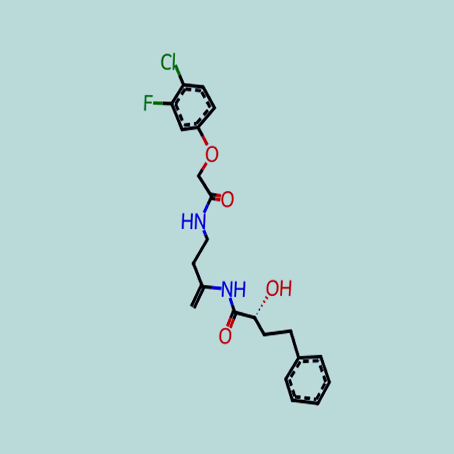 C=C(CCNC(=O)COc1ccc(Cl)c(F)c1)NC(=O)[C@H](O)CCc1ccccc1